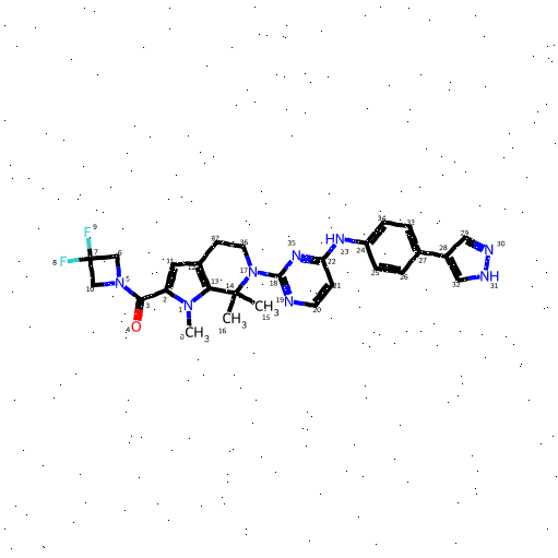 Cn1c(C(=O)N2CC(F)(F)C2)cc2c1C(C)(C)N(c1nccc(Nc3ccc(-c4cn[nH]c4)cc3)n1)CC2